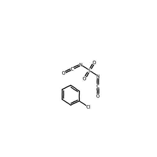 Clc1ccccc1.O=C=NS(=O)(=O)N=C=O